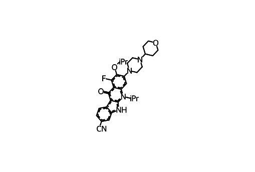 CC(C)Oc1c(N2CCN(C3CCOCC3)CC2)cc2c(c1F)c(=O)c1c3ccc(C#N)cc3[nH]c1n2C(C)C